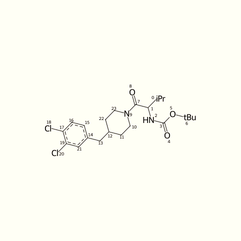 CC(C)C(NC(=O)OC(C)(C)C)C(=O)N1CCC(Cc2ccc(Cl)c(Cl)c2)CC1